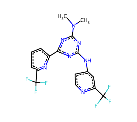 CN(C)c1nc(Nc2ccnc(C(F)(F)F)c2)nc(-c2cccc(C(F)(F)F)n2)n1